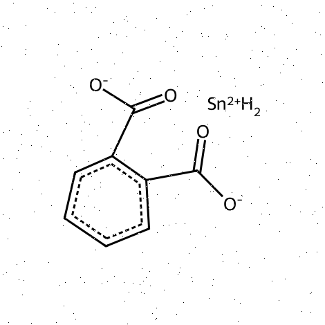 O=C([O-])c1ccccc1C(=O)[O-].[SnH2+2]